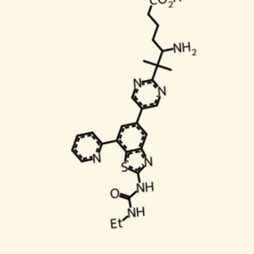 CCNC(=O)Nc1nc2cc(-c3cnc(C(C)(C)C(N)CCCC(=O)O)nc3)cc(-c3ccccn3)c2s1